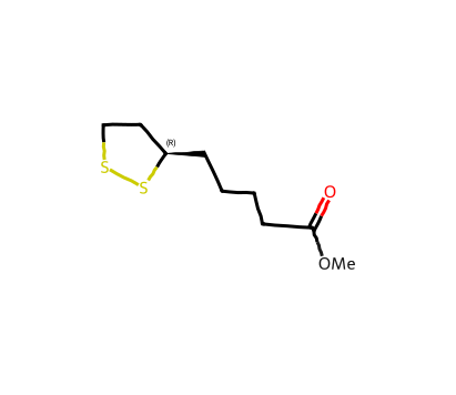 COC(=O)CCCC[C@@H]1CCSS1